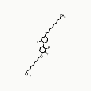 CCCCCCCCOc1ccc(-c2ccc(OCCCCCCCC)c(F)c2F)c(F)c1